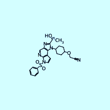 C[C@@H](O)c1nc2cnc3c(ccn3S(=O)(=O)c3ccccc3)c2n1C1CCC(OCC#N)CC1